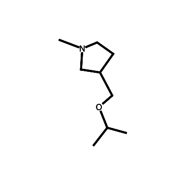 CC(C)OCC1CCN(C)C1